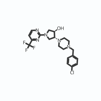 O[C@@H]1CN(c2nccc(C(F)(F)F)n2)C[C@H]1N1CCN(Cc2ccc(Cl)cc2)CC1